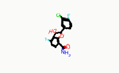 NC(=O)c1ccc(F)c2c1OC(c1ccc(F)c(Cl)c1)C2O